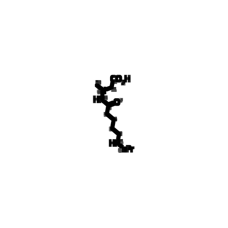 CCCNCCCCC(=O)NN(C)CC(=O)O